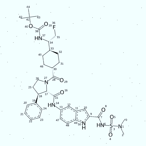 CN(C)S(=O)(=O)NC(=O)c1cc2cc(NC(=O)[C@@H]3[C@@H](c4ccccc4)CCN3C(=O)[C@H]3CC[C@H]([C@@H](CF)NC(=O)OC(C)(C)C)CC3)ccc2[nH]1